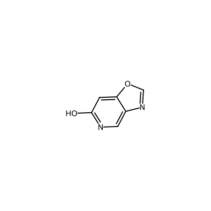 Oc1cc2ocnc2cn1